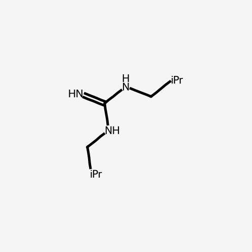 CC(C)CNC(=N)NCC(C)C